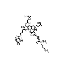 CNC(=O)C(CCCCNC(=O)C(N)CCCCN)NC(=O)C(CNCCC(C)=N)NC(=O)C(CCCNC(C)=N)NC(=O)CCCC[C@@H]1SC[C@@H]2NC(=O)N[C@@H]21